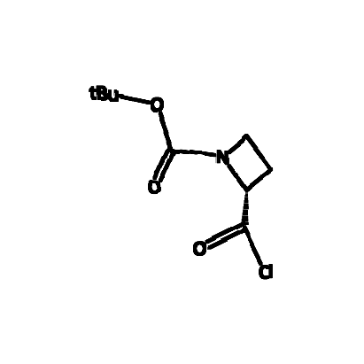 CC(C)(C)OC(=O)N1CC[C@@H]1C(=O)Cl